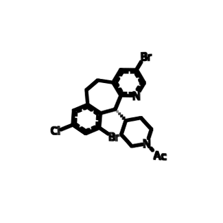 CC(=O)N1CCC([C@H]2c3ncc(Br)cc3CCc3cc(Cl)cc(Br)c32)CC1